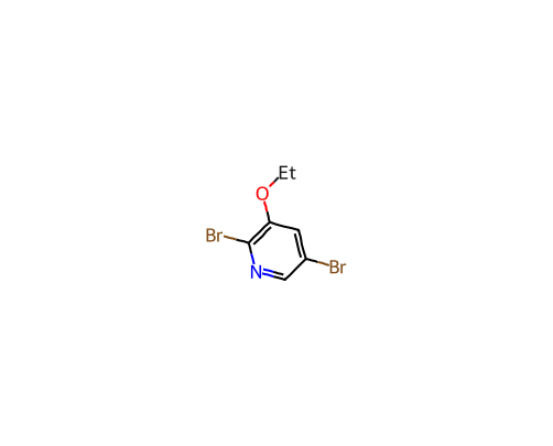 CCOc1cc(Br)cnc1Br